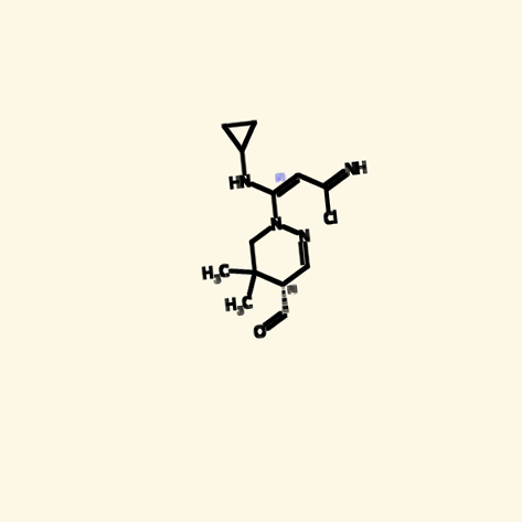 CC1(C)CN(/C(=C\C(=N)Cl)NC2CC2)N=C[C@@H]1C=O